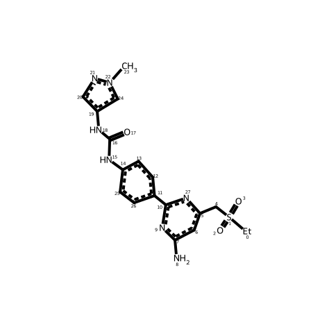 CCS(=O)(=O)Cc1cc(N)nc(-c2ccc(NC(=O)Nc3cnn(C)c3)cc2)n1